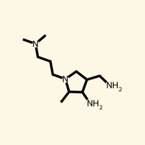 CC1C(N)C(CN)CN1CCCN(C)C